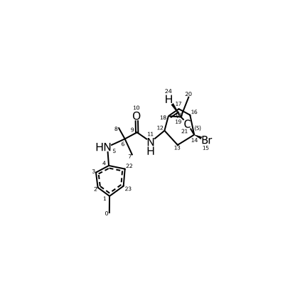 Cc1ccc(NC(C)(C)C(=O)NC2C[C@@]3(Br)CC=C2[C@H](C)C3)cc1